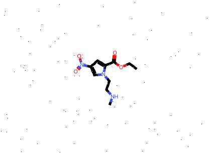 CCOC(=O)c1cc([N+](=O)[O-])cn1CCNC